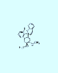 COc1ccc(C2(c3ccccc3F)C=Cc3ccccc3C2)cc1OC